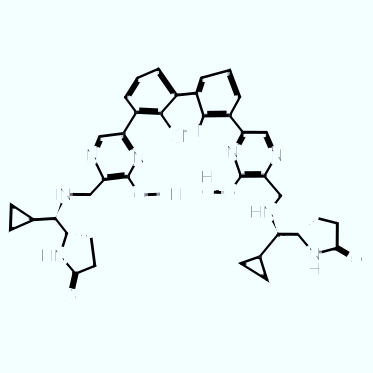 COc1nc(-c2cccc(-c3cccc(-c4cnc(CN[C@H](C5CC5)[C@@H]5CCC(=O)N5)c(OC)n4)c3Cl)c2Cl)cnc1CN[C@H](C1CC1)[C@@H]1CCC(=O)N1